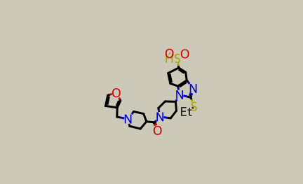 CCSc1nc2cc([SH](=O)=O)ccc2n1C1CCN(C(=O)C2CCN(Cc3ccoc3)CC2)CC1